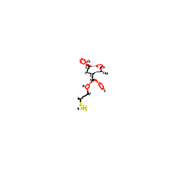 O=C1CC(C(=O)OCCS)CO1